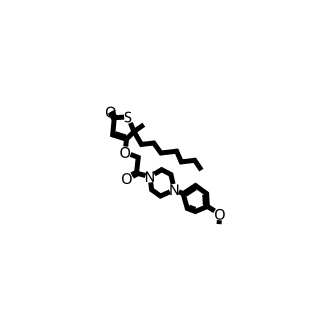 CCCCCCCC1(C)SC(=O)C=C1OCC(=O)N1CCN(c2ccc(OC)cc2)CC1